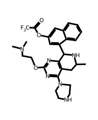 CC1Cc2c(nc(OCCN(C)C)nc2N2CCNCC2)C(c2cc(OC(=O)C(F)(F)F)cc3ccccc23)N1